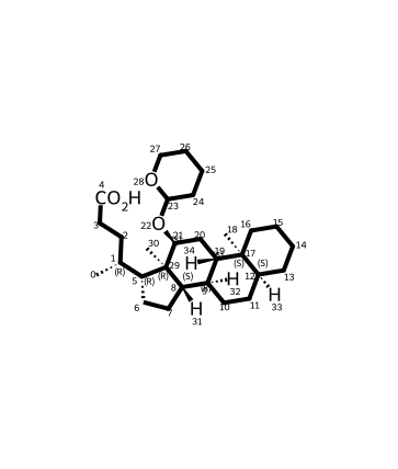 C[C@H](CCC(=O)O)[C@H]1CC[C@H]2[C@@H]3CC[C@@H]4CCCC[C@]4(C)[C@H]3C[C@H](OC3CCCCO3)[C@]12C